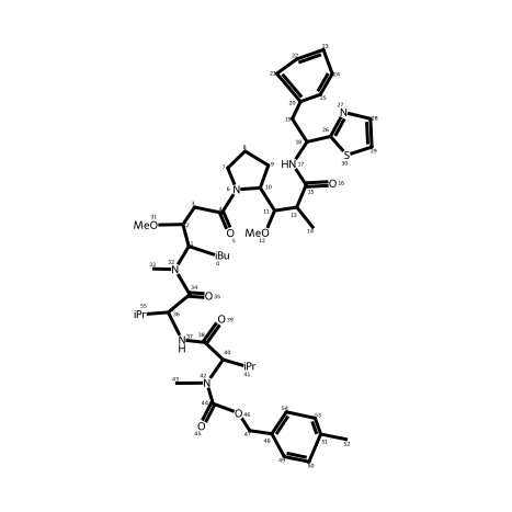 CCC(C)C(C(CC(=O)N1CCCC1C(OC)C(C)C(=O)NC(Cc1ccccc1)c1nccs1)OC)N(C)C(=O)C(NC(=O)C(C(C)C)N(C)C(=O)OCc1ccc(C)cc1)C(C)C